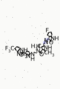 Cc1[nH]c(/C=N/N=C2\C(=O)Nc3ccc(F)cc32)c(C)c1C(=O)NCCNc1ccc(C(=O)Nc2ccc(C(F)(F)F)cc2N)cn1